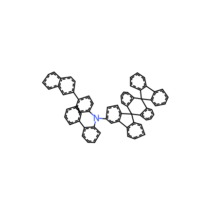 c1ccc(-c2ccccc2N(c2ccc(-c3ccc4ccccc4c3)cc2)c2ccc3c(c2)-c2ccccc2C32c3ccccc3C3(c4ccccc4-c4ccccc43)c3ccccc32)cc1